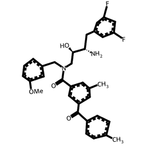 COc1cccc(CN(C[C@@H](O)[C@@H](N)Cc2cc(F)cc(F)c2)C(=O)c2cc(C)cc(C(=O)c3ccc(C)cc3)c2)c1